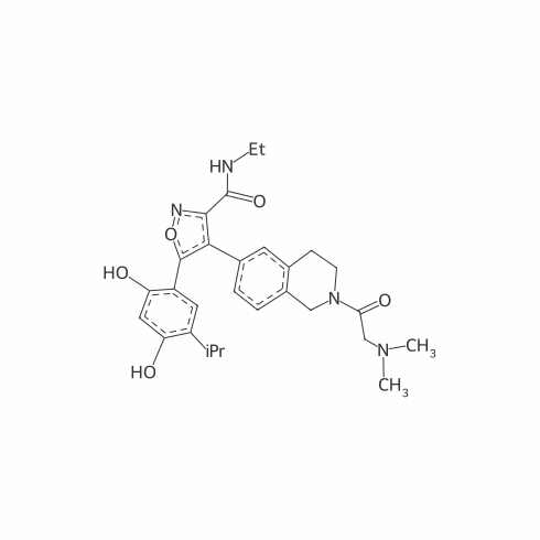 CCNC(=O)c1noc(-c2cc(C(C)C)c(O)cc2O)c1-c1ccc2c(c1)CCN(C(=O)CN(C)C)C2